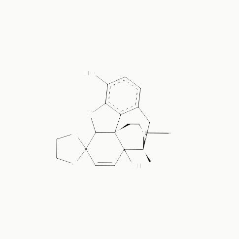 CN1CC[C@]23c4c5ccc(O)c4OC2C2(C=CC3(O)[C@H]1C5)OCCO2